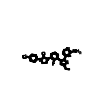 CCn1cc(-c2cccc(N3CCN(c4ccc(Cl)cc4)C3=O)c2F)c(-c2ccnc(N)n2)n1